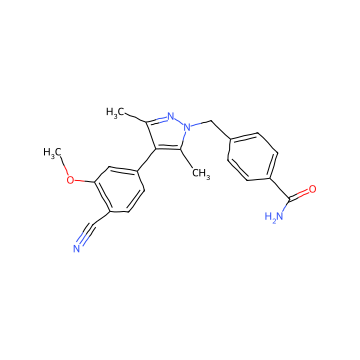 COc1cc(-c2c(C)nn(Cc3ccc(C(N)=O)cc3)c2C)ccc1C#N